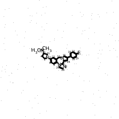 CN(C)C1CCN(c2ccc3c(c2)Cn2cc(-c4ccc(F)cc4)cc2-c2nccn2-3)C1